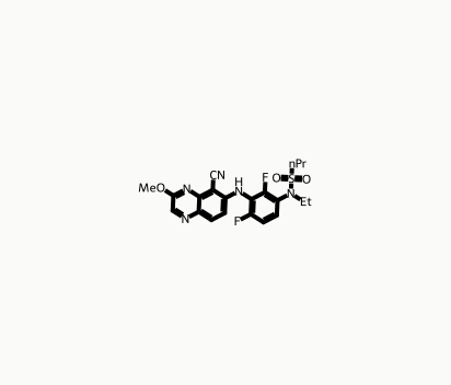 CCCS(=O)(=O)N(CC)c1ccc(F)c(Nc2ccc3ncc(OC)nc3c2C#N)c1F